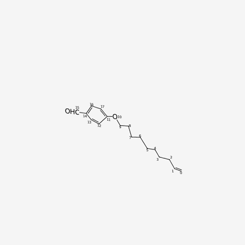 C=CCCCCCCCCOc1ccc(C=O)cc1